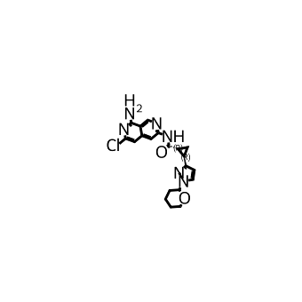 Nc1nc(Cl)cc2cc(NC(=O)[C@@H]3C[C@H]3c3ccn(C4CCCCO4)n3)ncc12